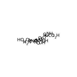 N[C@H](CNc1ccn([C@@H]2O[C@H](COC(=O)C[C@H](N)C(=O)O)[C@@H](O)[C@@H]2O)c(=O)n1)CC(=O)O